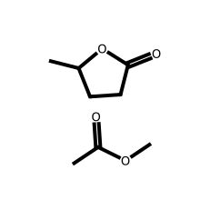 CC1CCC(=O)O1.COC(C)=O